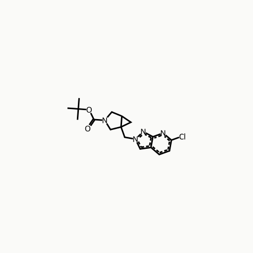 CC(C)(C)OC(=O)N1CC2CC2(Cn2cc3ccc(Cl)nc3n2)C1